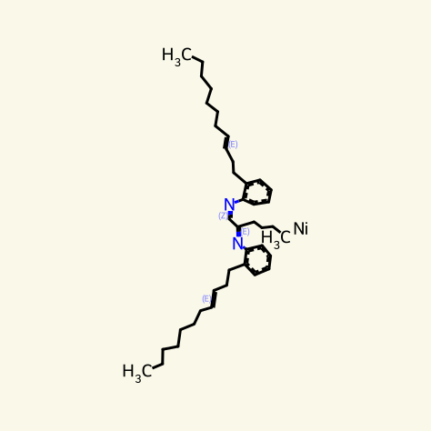 CCCCCCC/C=C/CCc1ccccc1/N=C\C(CCCC)=N\c1ccccc1CC/C=C/CCCCCCC.[Ni]